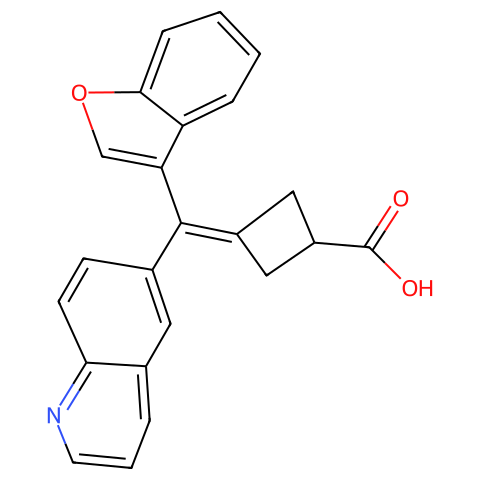 O=C(O)C1CC(=C(c2ccc3ncccc3c2)c2coc3ccccc23)C1